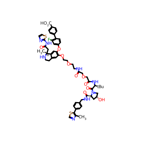 Cc1ncsc1-c1ccc(CNC(=O)[C@@H]2C[C@@H](O)CN2C(=O)C(NC(=O)COCC(=O)NCCOCCOc2cc3c(cc2Oc2ccc(-c4ccc(C(=O)O)cc4)c(F)c2)[C@@](C)(CC(=O)Nc2nccs2)NCC3)C(C)(C)C)cc1